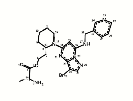 C[C@@H](N)C(=O)OCC[C@@H]1CCCCN1c1cc(NCc2cccnc2)n2ncc(Br)c2n1